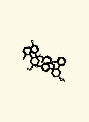 CN1CCC(OC(=O)/C=C\C(=O)OC2(c3ccc(Cl)cc3)CCN(C)CC2c2ccccc2F)(c2ccc(Cl)cc2)C(c2ccccc2F)C1